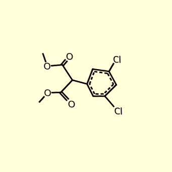 COC(=O)C(C(=O)OC)c1cc(Cl)cc(Cl)c1